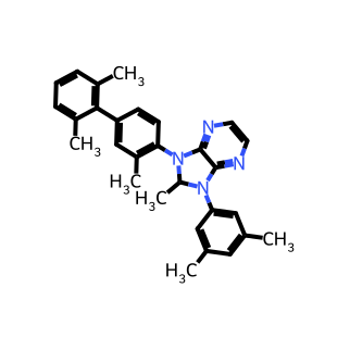 Cc1cc(C)cc(N2c3nccnc3N(c3ccc(-c4c(C)cccc4C)cc3C)C2C)c1